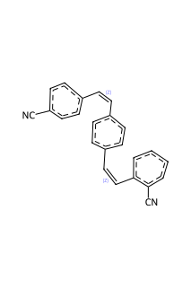 N#Cc1ccc(/C=C\c2ccc(/C=C\c3ccccc3C#N)cc2)cc1